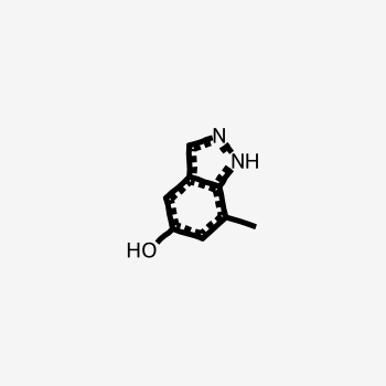 Cc1cc(O)cc2cn[nH]c12